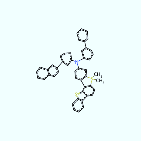 CS1(C)c2cc(N(c3cccc(-c4ccccc4)c3)c3cccc(-c4ccc5ccccc5c4)c3)ccc2-c2c1ccc1c2sc2ccccc21